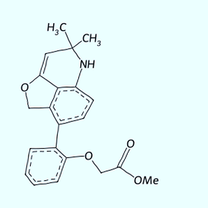 COC(=O)COc1ccccc1-c1ccc2c3c1COC3=CC(C)(C)N2